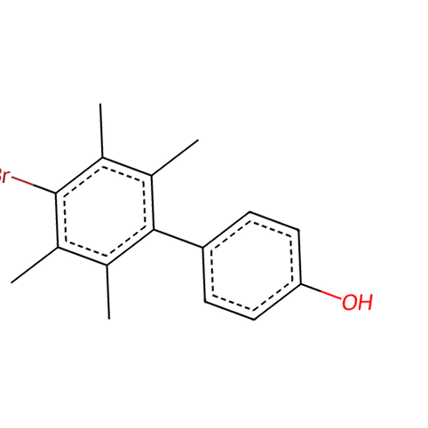 Cc1c(C)c(-c2ccc(O)cc2)c(C)c(C)c1Br